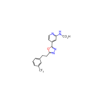 O=C(O)Nc1cc(-c2nnc(CCc3cccc(C(F)(F)F)c3)o2)ccn1